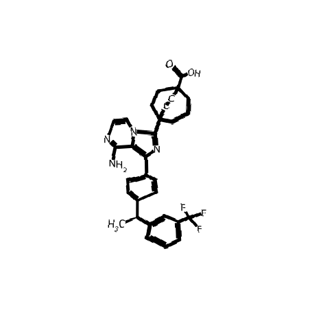 C[C@@H](c1ccc(-c2nc(C34CCCC(C(=O)O)(CC3)CC4)n3ccnc(N)c23)cc1)c1cccc(C(F)(F)F)c1